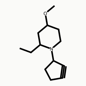 CCC1CC(OC)CCN1C1C#CCC1